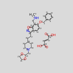 CNCc1c(OCc2ccccc2)ccc2c(CCC3CCN(CC4OCCO4)CC3)noc12.O=C(O)/C=C/C(=O)O